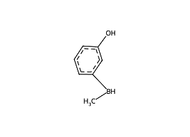 CBc1cccc(O)c1